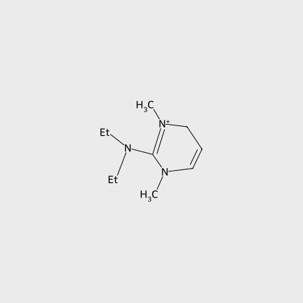 CCN(CC)C1=[N+](C)CC=CN1C